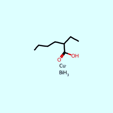 CCCCC(CC)C(=O)O.[BiH3].[Cu]